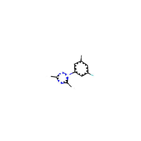 Cc1nc(C)n(-c2cc(F)cc(C(=O)O)c2)n1